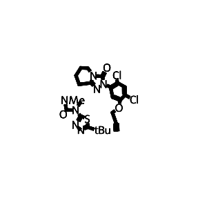 C#CCOc1cc(-n2nc3n(c2=O)CCCC3)c(Cl)cc1Cl.CNC(=O)N(C)c1nnc(C(C)(C)C)s1